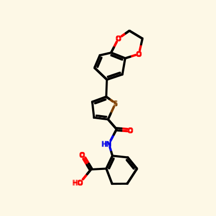 O=C(O)C1=C(NC(=O)c2ccc(-c3ccc4c(c3)OCCO4)s2)C=CCC1